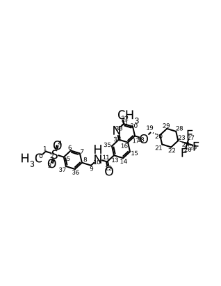 CCS(=O)(=O)c1ccc(CNC(=O)c2ccc3c(OC[C@H]4CC[C@H](C(F)(F)F)CC4)cc(C)nc3c2)cc1